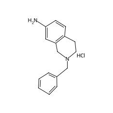 Cl.Nc1ccc2c(c1)CN(Cc1ccccc1)CC2